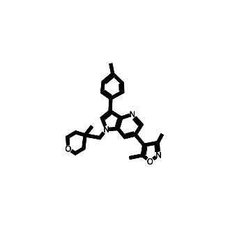 Cc1ccc(-c2cn(CC3(C)CCOCC3)c3cc(-c4c(C)noc4C)cnc23)cc1